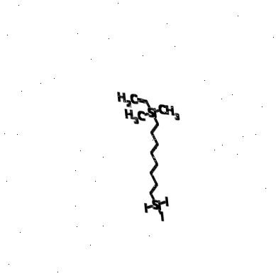 C=C[Si](C)(C)CCCCCCCC[Si](I)(I)I